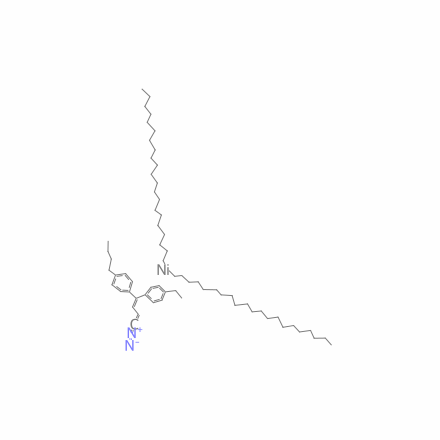 CCCCCCCCCCCCCCCCCCCC[CH2][Ni][CH2]CCCCCCCCCCCCCCCCCCCC.CCCCc1ccc(C(=CC=C=[N+]=[N-])c2ccc(CC)cc2)cc1